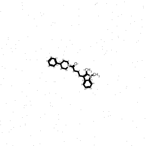 Cc1c(CCCC(=O)N2C[CH][C](c3ccccc3)CC2)c2ccccc2n1C